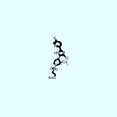 COCCS(=O)(=O)N1CC[C@@H](c2[nH]c(-c3ccc(F)cn3)nc2Cl)[C@@H](C)C1